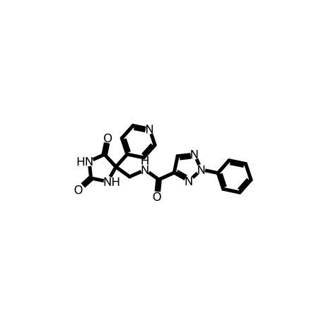 O=C1NC(=O)C(CNC(=O)c2cnn(-c3ccccc3)n2)(c2ccncc2)N1